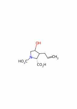 C=CCC1C(O)CN(C(=O)O)[C@H]1C(=O)O